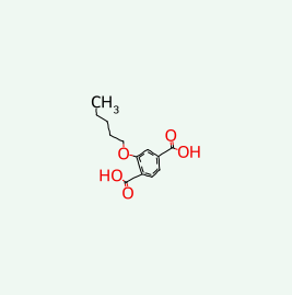 CCCCCOc1cc(C(=O)O)ccc1C(=O)O